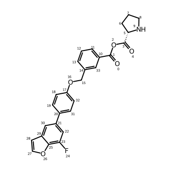 O=C(OC(=O)[C@@H]1CCCN1)c1cccc(COc2ccc(-c3cc(F)c4occc4c3)cc2)c1